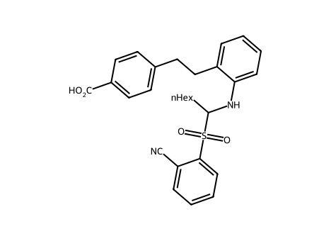 CCCCCCC(Nc1ccccc1CCc1ccc(C(=O)O)cc1)S(=O)(=O)c1ccccc1C#N